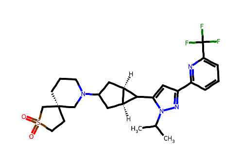 CC(C)n1nc(-c2cccc(C(F)(F)F)n2)cc1C1[C@H]2CC(N3CCC[C@@]4(CCS(=O)(=O)C4)C3)C[C@@H]12